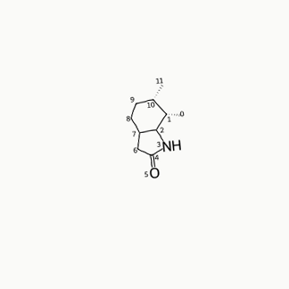 C[C@@H]1C2NC(=O)CC2CC[C@@H]1C